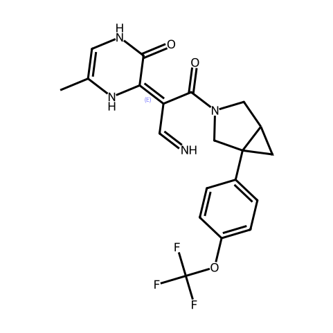 CC1=CNC(=O)/C(=C(/C=N)C(=O)N2CC3CC3(c3ccc(OC(F)(F)F)cc3)C2)N1